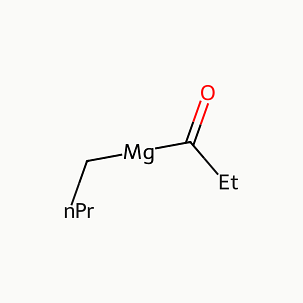 CCC[CH2][Mg][C](=O)CC